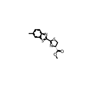 COC(=O)[C@H]1CSC(c2nc3ccc(C)cc3s2)=N1